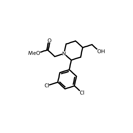 COC(=O)CN1CCC(CO)CC1c1cc(Cl)cc(Cl)c1